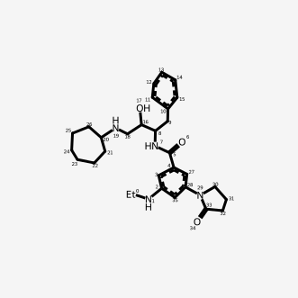 CCNc1cc(C(=O)NC(Cc2ccccc2)C(O)CNC2CCCCCC2)cc(N2CCCC2=O)c1